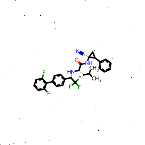 CC(C)C[C@H](N[C@@H](c1ccc(-c2c(F)cccc2F)cc1)C(F)(F)F)C(=O)N[C@@]1(C#N)CC1c1ccccc1